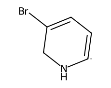 BrC1=CC=[C]NC1